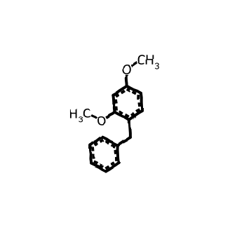 COc1ccc(Cc2ccccc2)c(OC)c1